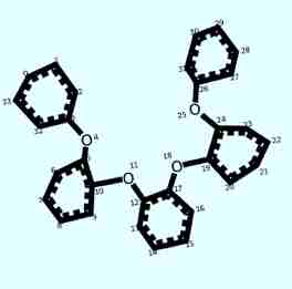 c1ccc(Oc2ccccc2Oc2ccccc2Oc2ccccc2Oc2ccccc2)cc1